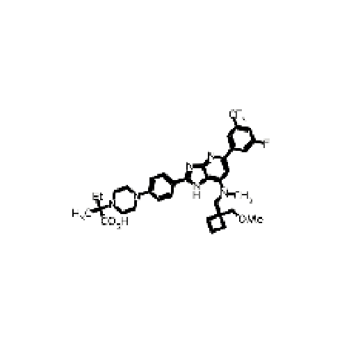 CCC(C)(C(=O)O)N1CCN(c2ccc(-c3nc4nc(-c5cc(F)cc(C(F)(F)F)c5)cc(N(C)CC5(COC)CCC5)c4[nH]3)cc2)CC1